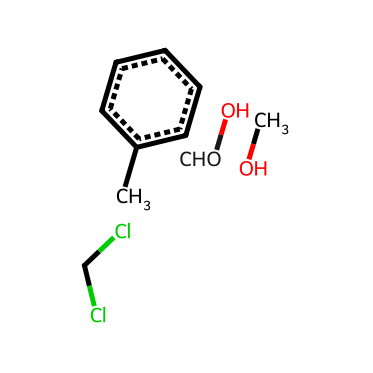 CO.Cc1ccccc1.ClCCl.O=CO